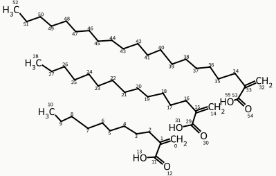 C=C(CCCCCCCCC)C(=O)O.C=C(CCCCCCCCCCCCC)C(=O)O.C=C(CCCCCCCCCCCCCCCCCCC)C(=O)O